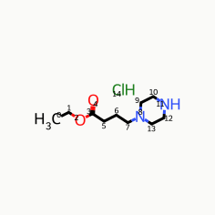 CCOC(=O)CCCN1CCNCC1.Cl